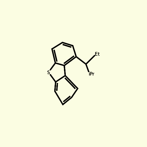 CCC(c1cccc2sc3ccccc3c12)C(C)C